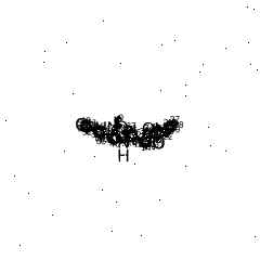 C=CC(=O)Nc1cc(Nc2nc(-c3ccnc(N4CCn5c(cc6c5CC(C)(C)C6)C4=O)c3CO)cn(C)c2=O)ccc1N1CCC(N2CCOCC2)C[C@@H]1C